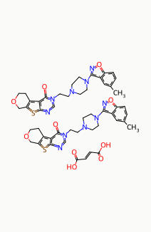 Cc1ccc2onc(N3CCN(CCn4cnc5sc6c(c5c4=O)CCOC6)CC3)c2c1.Cc1ccc2onc(N3CCN(CCn4cnc5sc6c(c5c4=O)CCOC6)CC3)c2c1.O=C(O)C=CC(=O)O